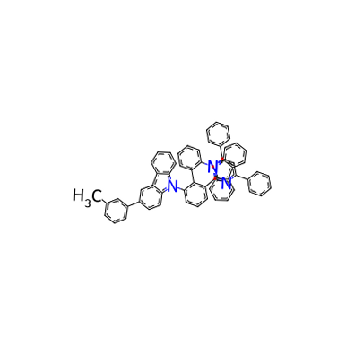 Cc1cccc(-c2ccc3c(c2)c2ccccc2n3-c2cccc(-c3nc(-c4ccccc4)cc(-c4ccccc4)n3)c2-c2ccccc2-n2c3ccccc3c3ccccc32)c1